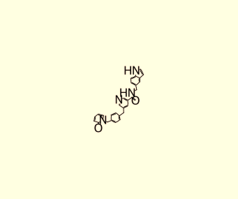 O=C(NCc1ccc2[nH]ccc2c1)c1cncc(Cc2ccc(Cn3ccccc3=O)cc2)c1